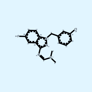 CN(C)/C=N\c1nn(Cc2cccc(Cl)c2)c2ccc(F)cc12